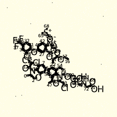 CC1COc2ccccc2N1C(=O)C(Cl)Cl.CCOC(=O)C(C)OC(=O)c1cc(Oc2ccc(C(F)(F)F)cc2Cl)ccc1[N+](=O)[O-].CCc1cccc(CC)c1N(COC)C(=O)CCl.C[S+](C)C.O=C(O)CNCP(=O)([O-])O